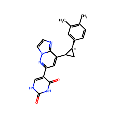 Cc1ccc([C@H]2CC2c2cc(-c3c[nH]c(=O)[nH]c3=O)nn3ccnc23)cc1C